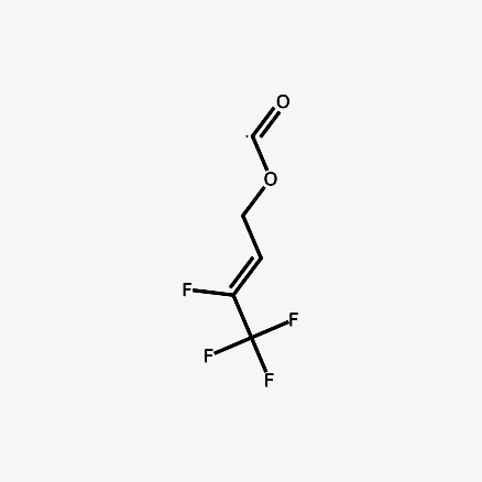 O=[C]OCC=C(F)C(F)(F)F